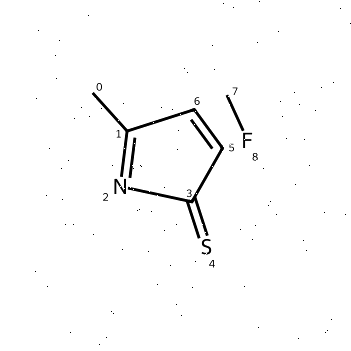 CC1=NC(=S)C=C1.CF